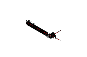 CCCCCCCCCCCCCCCCCC(=O)OC[C@H](COP(=O)(O)OCCNC(=O)OCCOOOOOOOOOOOOOOOOOOOOOOOOOOOOOOOOOOOOOOOOOOOO/C=C\N)OC(=O)CCCCCCCCCCCCCCCCC